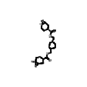 O=C(OCC1CCC(COC(=O)[C@H]2CC[C@H]3OC3C2)CC1)C1CC[C@H]2OC2C1